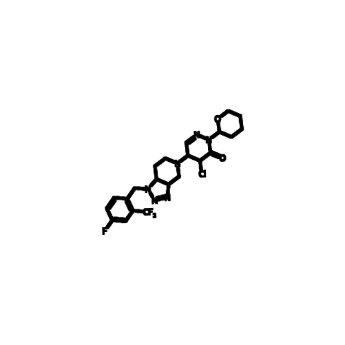 O=C1C(Cl)C(N2CCC3C(C2)N=NN3Cc2ccc(F)cc2C(F)(F)F)C=NN1C1CCCCO1